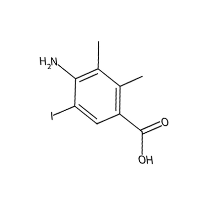 Cc1c(C(=O)O)cc(I)c(N)c1C